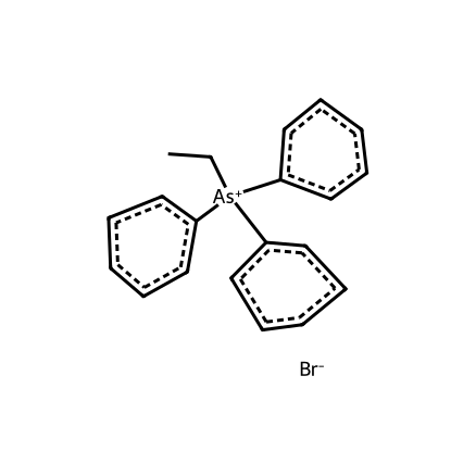 CC[As+](c1ccccc1)(c1ccccc1)c1ccccc1.[Br-]